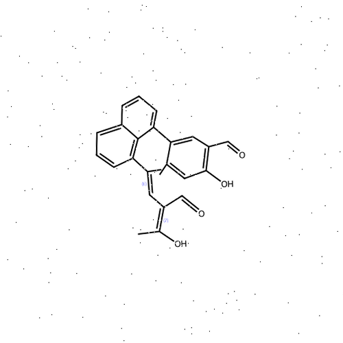 C/C(O)=C(C=O)\C=C(/C)c1cccc2cccc(-c3cc(C=O)c(O)cc3C)c12